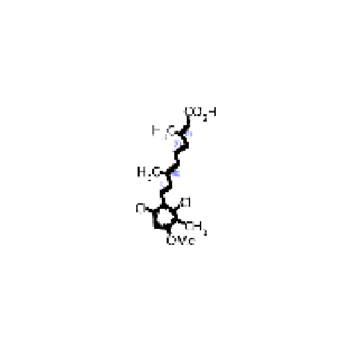 COc1cc(Cl)c(/C=C/C(C)=C/C=C/C(C)=C/C(=O)O)c(Cl)c1C